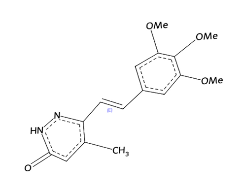 COc1cc(/C=C/c2n[nH]c(=O)cc2C)cc(OC)c1OC